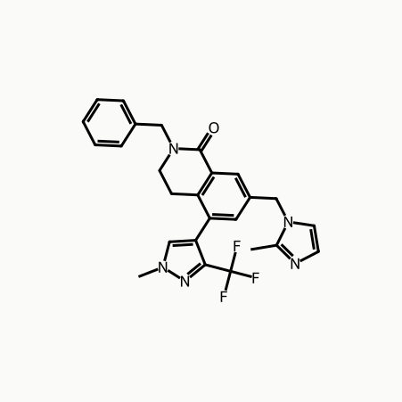 Cc1nccn1Cc1cc2c(c(-c3cn(C)nc3C(F)(F)F)c1)CCN(Cc1ccccc1)C2=O